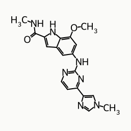 CNC(=O)c1cc2cc(Nc3nccc(-c4cn(C)cn4)n3)cc(OC)c2[nH]1